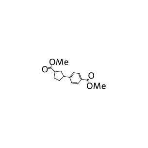 COC(=O)c1ccc(C2CCC(C(=O)OC)C2)cc1